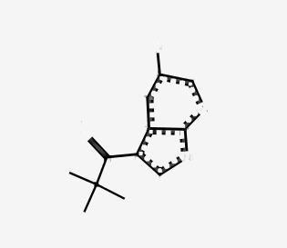 CC(C)(C)C(=O)c1c[nH]c2ncc(Br)cc12